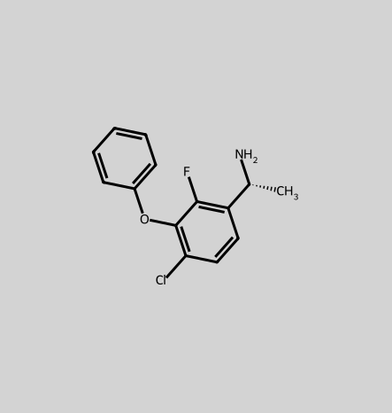 C[C@@H](N)c1ccc(Cl)c(Oc2ccccc2)c1F